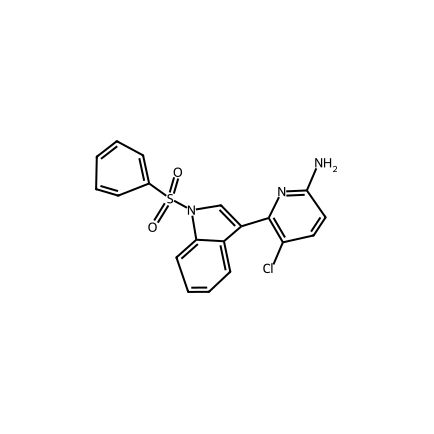 Nc1ccc(Cl)c(-c2cn(S(=O)(=O)c3ccccc3)c3ccccc23)n1